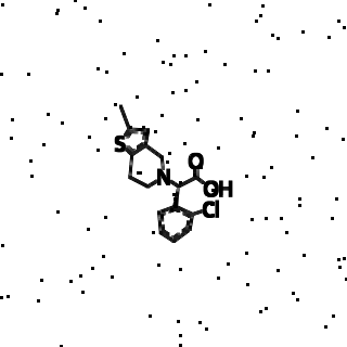 Cc1cc2c(s1)CCN([C@@H](C(=O)O)c1ccccc1Cl)C2